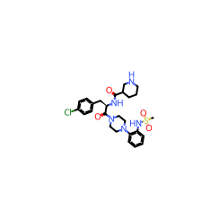 CS(=O)(=O)Nc1ccccc1N1CCN(C(=O)[C@@H](Cc2ccc(Cl)cc2)NC(=O)C2CCCNC2)CC1